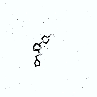 CN1CCN(c2ccnc(NCC3CCCC3)n2)CC1